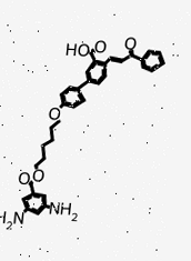 Nc1cc(N)cc(C(=O)OCCCCCCOc2ccc(-c3ccc(C=CC(=O)c4ccccc4)c(C(=O)O)c3)cc2)c1